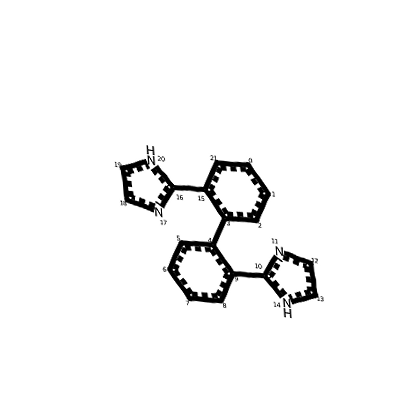 c1ccc(-c2ccccc2-c2ncc[nH]2)c(-c2ncc[nH]2)c1